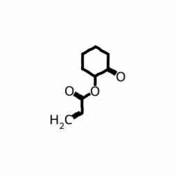 C=CC(=O)OC1CCCCC1=O